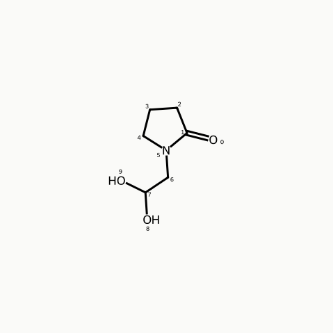 O=C1CCCN1CC(O)O